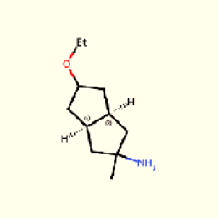 CCOC1C[C@@H]2CC(C)(N)C[C@@H]2C1